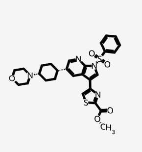 COC(=O)c1nc(-c2cn(S(=O)(=O)c3ccccc3)c3ncc([C@H]4CC[C@@H](N5CCOCC5)CC4)cc23)cs1